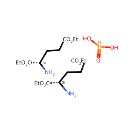 CCOC(=O)CC[C@H](N)C(=O)OCC.CCOC(=O)CC[C@H](N)C(=O)OCC.O=[PH](O)O